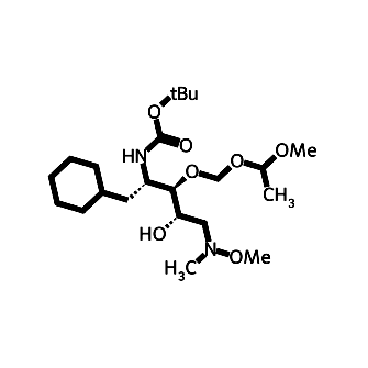 COC(C)OCO[C@H]([C@H](CC1CCCCC1)NC(=O)OC(C)(C)C)[C@@H](O)CN(C)OC